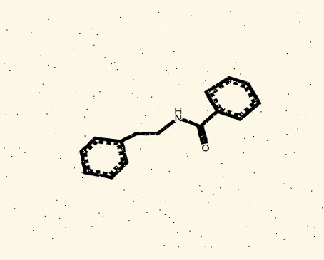 O=C(NCCc1cc[c]cc1)c1ccccc1